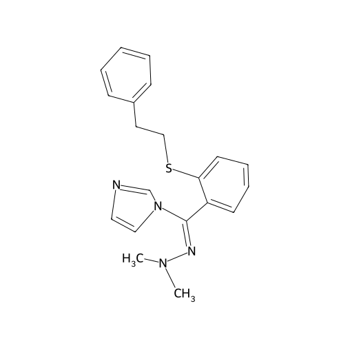 CN(C)N=C(c1ccccc1SCCc1ccccc1)n1ccnc1